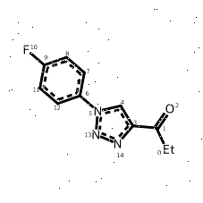 CCC(=O)c1cn(-c2ccc(F)cc2)nn1